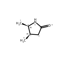 C[C@@H]1CC(=O)N[C@@H]1C